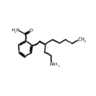 CCCCCC(CCN)Cc1ccccc1C(N)=O